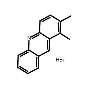 Br.Cc1ccc2nc3ccccc3cc2c1C